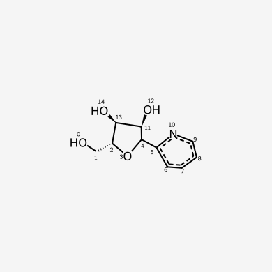 OC[C@H]1OC(c2ccccn2)[C@H](O)[C@@H]1O